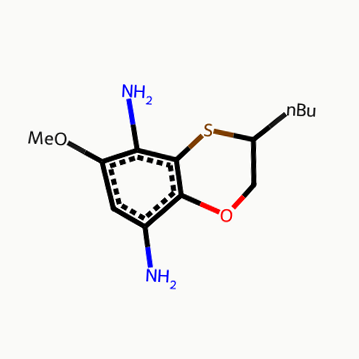 CCCCC1COc2c(N)cc(OC)c(N)c2S1